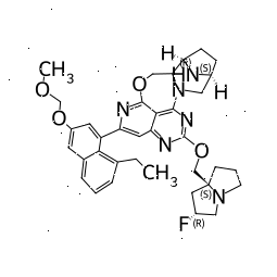 CCc1cccc2cc(OCOC)cc(-c3cc4nc(OC[C@@]56CCCN5C[C@H](F)C6)nc5c4c(n3)OCC3[C@H]4CC[C@@H](CN53)N4)c12